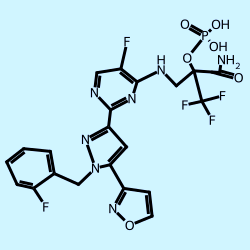 NC(=O)C(CNc1nc(-c2cc(-c3ccon3)n(Cc3ccccc3F)n2)ncc1F)(OP(=O)(O)O)C(F)(F)F